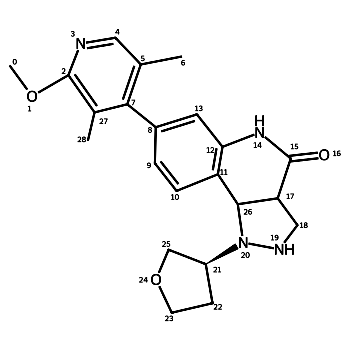 COc1ncc(C)c(-c2ccc3c(c2)NC(=O)C2CNN([C@H]4CCOC4)C32)c1C